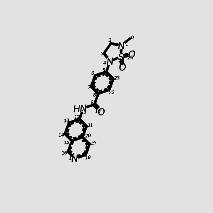 CN1CCN(c2ccc(C(=O)Nc3ccc4cnccc4c3)cc2)S1(=O)=O